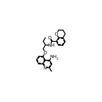 CCC(COc1cccc2nc(C)cc(N)c12)NC(=O)c1cccc2c1OCCC2